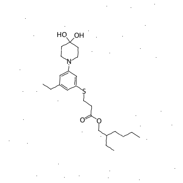 CCCCC(CC)COC(=O)CCSc1cc(CC)cc(N2CCC(O)(O)CC2)c1